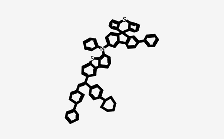 C1=CC(c2ccccc2)CC=C1/C=C(\c1ccc(C2CCCCC2)cc1)c1ccc2sc3c(N(c4ccccc4)c4ccc5c(c4)-c4ccc(-c6ccccc6)cc4C54c5ccccc5Sc5ccccc54)cccc3c2c1